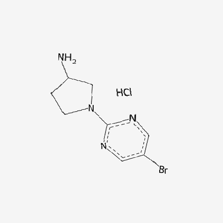 Cl.NC1CCN(c2ncc(Br)cn2)C1